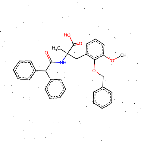 COc1cccc(CC(C)(NC(=O)C(c2ccccc2)c2ccccc2)C(=O)O)c1OCc1ccccc1